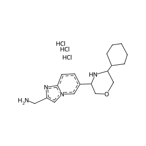 Cl.Cl.Cl.NCc1cn2cc(C3COCC(C4CCCCC4)N3)ccc2n1